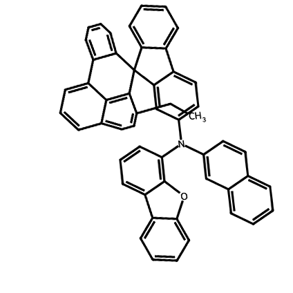 CCc1ccc2cccc3c2c1C1(c2ccccc2-c2ccc(N(c4ccc5ccccc5c4)c4cccc5c4oc4ccccc45)cc21)c1ccccc1-3